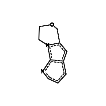 c1cnc2c(c1)cc1n2CCOC1